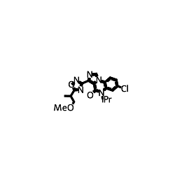 COCC(C)c1nc(-c2ncn3c2c(=O)n(C(C)C)c2cc(Cl)ccc23)no1